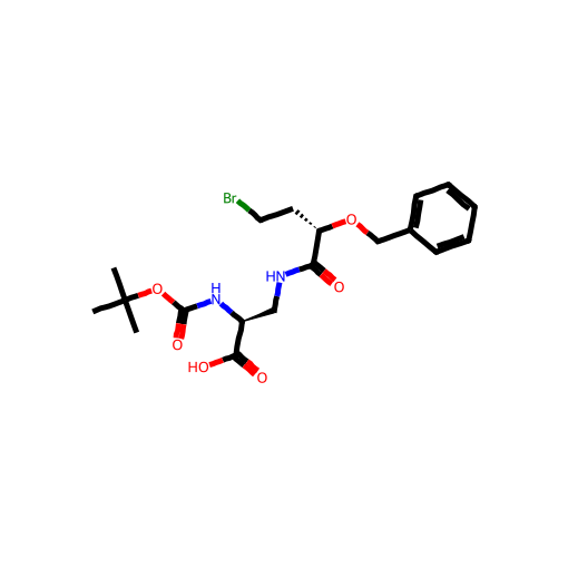 CC(C)(C)OC(=O)N[C@@H](CNC(=O)[C@H](CCBr)OCc1ccccc1)C(=O)O